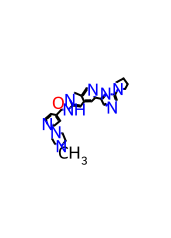 CN1CCN(c2cc(C(=O)Nc3cc4cc(-c5cncc(N6CCCC6)n5)ncc4cn3)ccn2)CC1